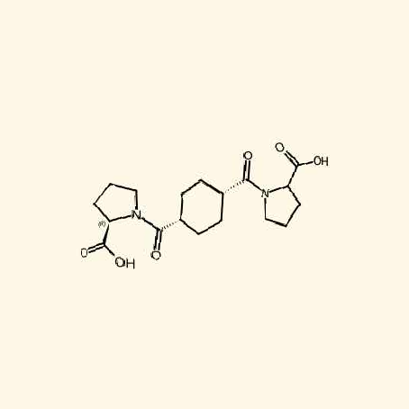 O=C(O)C1CCCN1C(=O)[C@H]1CC[C@@H](C(=O)N2CCC[C@@H]2C(=O)O)CC1